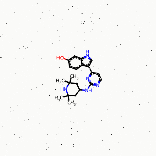 CC1(C)CC(Nc2nccc(-c3c[nH]c4cc(O)ccc34)n2)CC(C)(C)N1